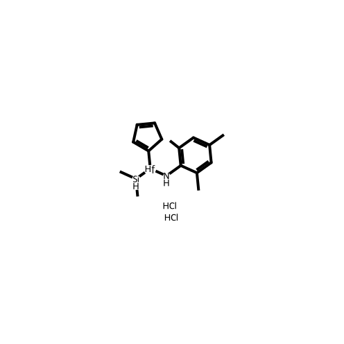 Cc1cc(C)c([NH][Hf]([C]2=CC=CC2)[SiH](C)C)c(C)c1.Cl.Cl